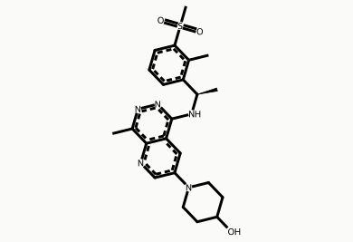 Cc1c([C@@H](C)Nc2nnc(C)c3ncc(N4CCC(O)CC4)cc23)cccc1S(C)(=O)=O